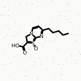 CCCCCC1=NC2=S(=O)=C(C(=O)O)CN2C=C1